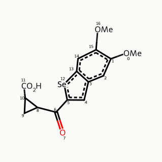 COc1cc2cc(C(=O)C3CC3C(=O)O)[se]c2cc1OC